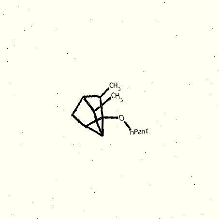 CCCCCOC12C(C)C3CC1C2C3C